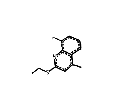 CCSc1cc(C)c2cccc(F)c2n1